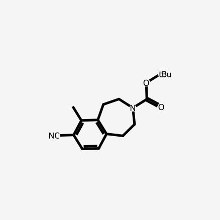 Cc1c(C#N)ccc2c1CCN(C(=O)OC(C)(C)C)CC2